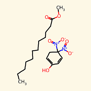 CCCCCCCCCCCC(=O)OC.O=[N+]([O-])C1([N+](=O)[O-])C=CC(O)=CC1